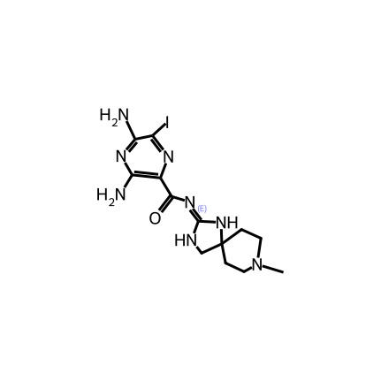 CN1CCC2(CC1)CN/C(=N\C(=O)c1nc(I)c(N)nc1N)N2